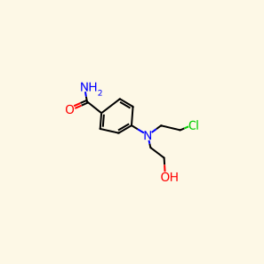 NC(=O)c1ccc(N(CCO)CCCl)cc1